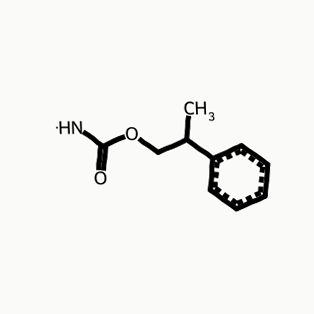 CC(COC([NH])=O)c1ccccc1